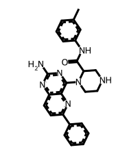 Cc1cccc(NC(=O)C2CNCCN2c2nc(N)nc3ccc(-c4ccccc4)nc23)c1